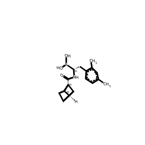 Cc1ccc(C[C@H](NC(=O)[C@@H]2C[C@H]3CCC32)B(O)O)c(C)c1